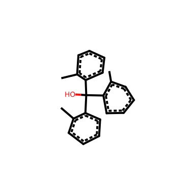 Cc1ccccc1C(O)(c1ccccc1C)c1ccccc1C